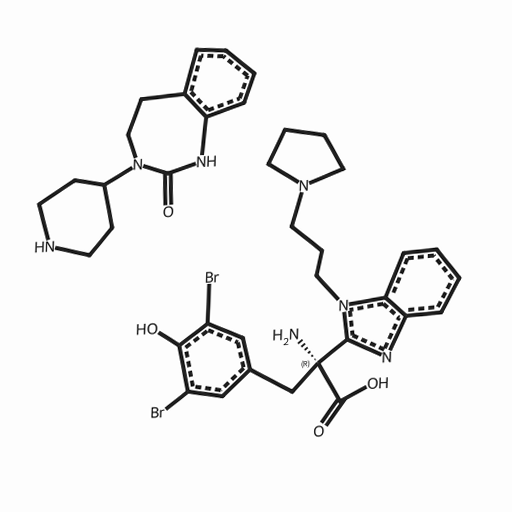 N[C@@](Cc1cc(Br)c(O)c(Br)c1)(C(=O)O)c1nc2ccccc2n1CCCN1CCCC1.O=C1Nc2ccccc2CCN1C1CCNCC1